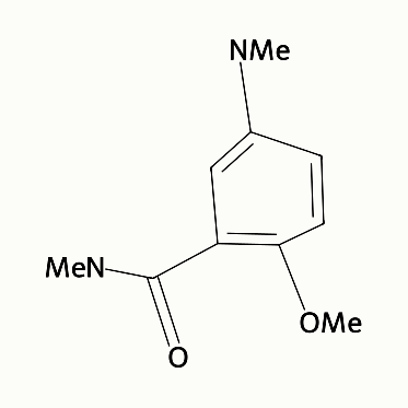 CNC(=O)c1cc(NC)ccc1OC